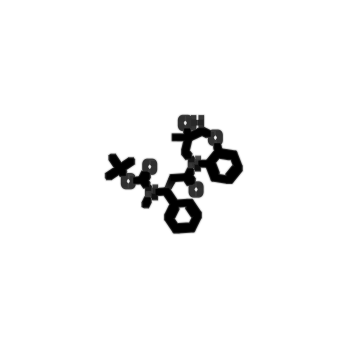 CN(C(=O)OC(C)(C)C)[C@@H](CC(=O)N1CC(C)(O)COc2ccccc21)c1ccccc1